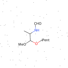 CCCC(C)OC(OC)C(C)NC=O